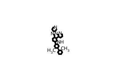 Cc1ccccc1-c1cc2[nH]c3c(ccc4c3c3cccnc3n3c5cnccc5nc43)c2cc1C